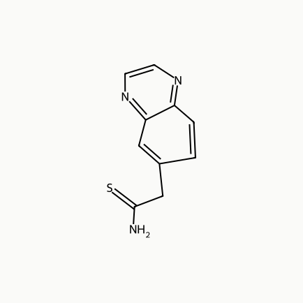 NC(=S)Cc1ccc2nccnc2c1